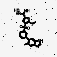 CSc1sc(C(=N)NO)cc1S(=O)(=O)c1cccc(-c2cc3[nH]cnc3cc2C)c1